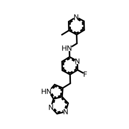 Cc1cnccc1CNc1ccc(Cc2c[nH]c3ncncc23)c(F)n1